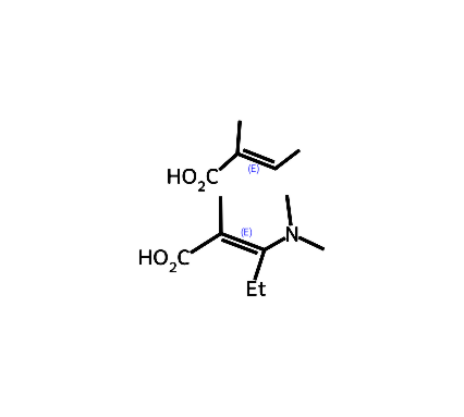 C/C=C(\C)C(=O)O.CC/C(=C(/C)C(=O)O)N(C)C